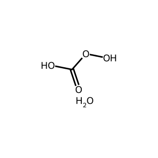 O.O=C(O)OO